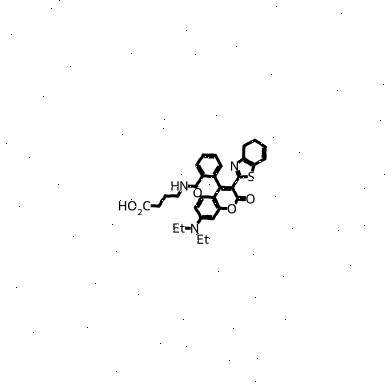 CCN(CC)c1ccc2c(-c3ccccc3C(=O)NCCCC(=O)O)c(-c3nc4c(s3)C=CCC4)c(=O)oc2c1